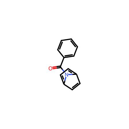 O=C(c1ccccc1)n1c2ccc1cc2